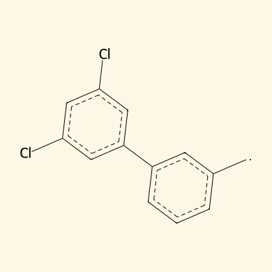 [CH2]c1cccc(-c2cc(Cl)cc(Cl)c2)c1